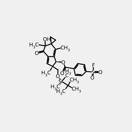 CC1=C2C(=C[C@@](C)(CO[Si](C)(C)C(C)(C)C)[C@@H]2OC(=O)c2ccc(S(=O)(=O)F)cc2)C(=O)C(C)(O)C12CC2